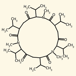 CC(C)C1CC(=O)C(C(C)C)N(C)C(=O)C(C(C)C)CC(=O)C(C(C)C)N(C)C(=O)C(C(C)C)CC(=O)C(C(C)C)N(C)C1=O